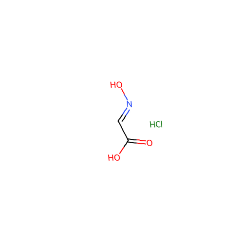 Cl.O=C(O)C=NO